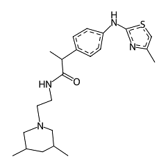 Cc1csc(Nc2ccc(C(C)C(=O)NCCN3CC(C)CC(C)C3)cc2)n1